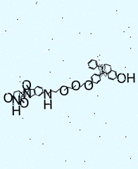 O=C1CC[C@H](N2Cc3cc(NCCCOCCOCCOc4ccc([C@@H]5c6ccc(O)cc6CC[C@@H]5c5ccccc5)cc4)ccc3C2=O)C(=O)N1